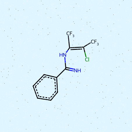 N=C(NC(=C(Cl)C(F)(F)F)C(F)(F)F)c1ccccc1